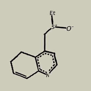 CC[S+]([O-])Cc1ccnc2c1CCC=C2